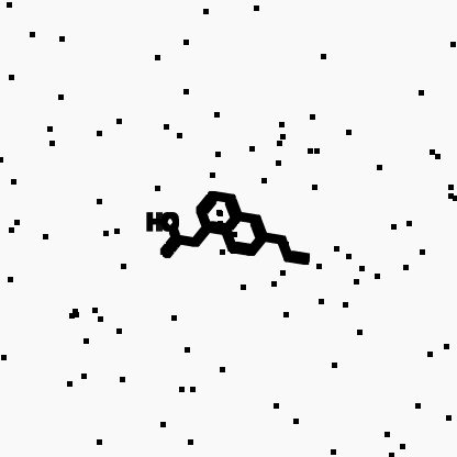 C=CCc1ccc2c(CC(=C)O)cccc2c1